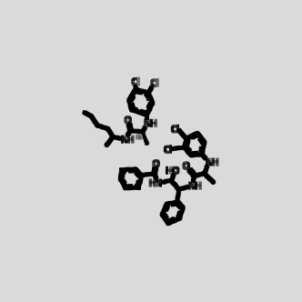 CC(Nc1ccc(Cl)c(Cl)c1)C(=O)NC(c1ccccc1)C(O)NC(=O)c1ccccc1.CCCCC(C)NC(=O)[C@H](C)Nc1ccc(Cl)c(Cl)c1